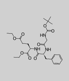 CCOC(=O)CC[C@@H](NC(=O)[C@H](Cc1ccccc1)NC(=O)CNC(=O)OC(C)(C)C)C(=O)OCC